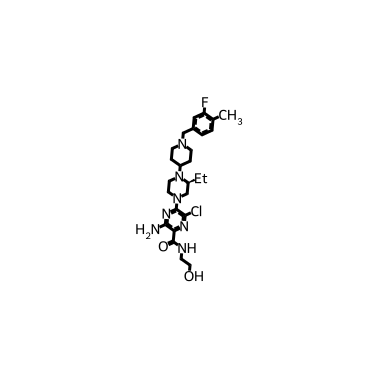 CC[C@H]1CN(c2nc(N)c(C(=O)NCCO)nc2Cl)CCN1C1CCN(Cc2ccc(C)c(F)c2)CC1